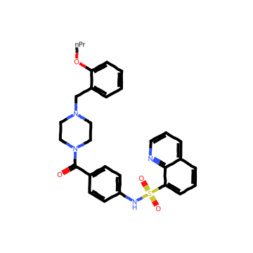 CCCOc1ccccc1CN1CCN(C(=O)c2ccc(NS(=O)(=O)c3cccc4cccnc34)cc2)CC1